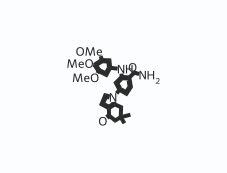 COc1cc(Nc2cc(-n3ccc4c3CC(C)(C)CC4=O)ccc2C(N)=O)cc(OC)c1OC